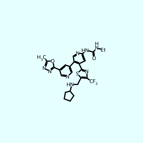 CCNC(=O)Nc1cc(-c2nc(C(F)(F)F)c(CNC3CCCC3)s2)c(-c2cncc(-c3nnc(C)o3)c2)cn1